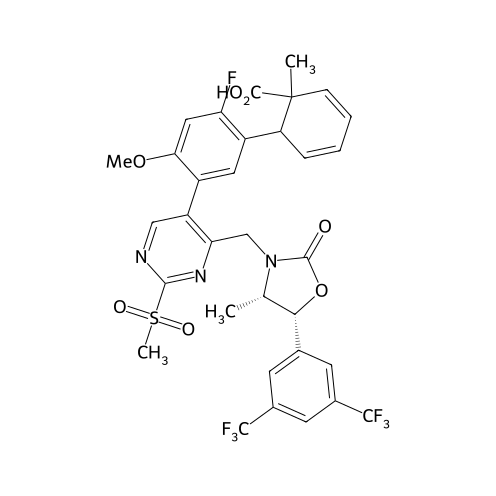 COc1cc(F)c(C2C=CC=CC2(C)C(=O)O)cc1-c1cnc(S(C)(=O)=O)nc1CN1C(=O)O[C@H](c2cc(C(F)(F)F)cc(C(F)(F)F)c2)[C@@H]1C